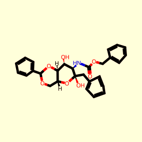 O=C(N[C@@H]1[C@@H](O)[C@@H]2OC(c3ccccc3)OC[C@H]2O[C@@]1(O)Cc1ccccc1)OCc1ccccc1